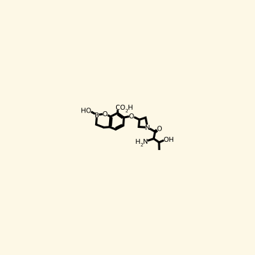 CC(O)C(N)C(=O)N1CC(Oc2ccc3c(c2C(=O)O)OB(O)CC3)C1